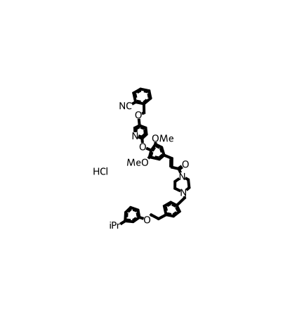 COc1cc(C=CC(=O)N2CCN(Cc3ccc(CCOc4cccc(C(C)C)c4)cc3)CC2)cc(OC)c1Oc1ccc(OCc2ccccc2C#N)cn1.Cl